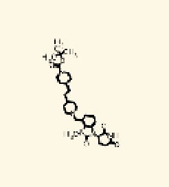 Cn1c(=O)n(C2CCC(=O)NC2=O)c2cccc(CN3CCC(CCC4CCN(C(=O)OC(C)(C)C)CC4)CC3)c21